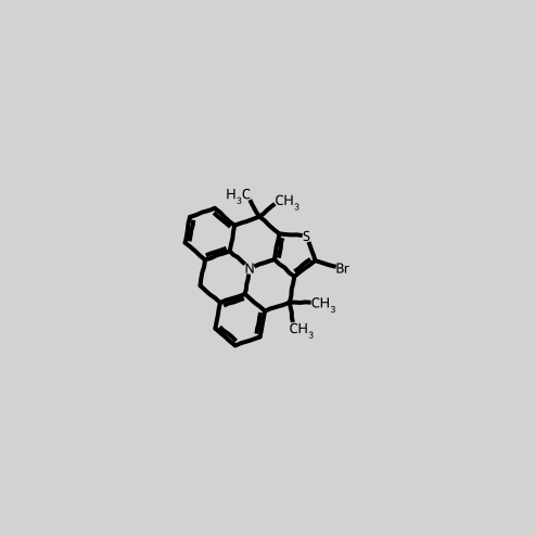 CC1(C)c2cccc3c2N2c4c(cccc4C(C)(C)c4c(Br)sc1c42)C3